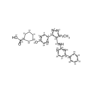 Cn1nnc(-c2cnc(O[C@H]3CCC[C@H](C(=O)O)C3)cn2)c1CNc1nccc(-c2ccccc2)n1